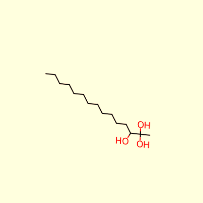 CCCCCCCCCCCCC(O)C(C)(O)O